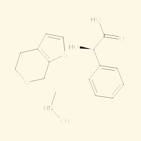 CNC[C@@H]1OCCc2ccsc21.O=C(O)[C@H](O)c1ccccc1